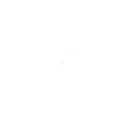 CC(C)C.CC(S)CC(N)C(=O)O